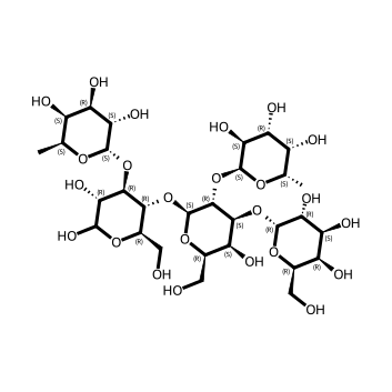 C[C@@H]1O[C@@H](O[C@H]2[C@H](O[C@H]3[C@H](O[C@@H]4O[C@@H](C)[C@@H](O)[C@@H](O)[C@@H]4O)[C@@H](O)C(O)O[C@@H]3CO)O[C@H](CO)[C@H](O)[C@@H]2O[C@H]2O[C@H](CO)[C@H](O)[C@H](O)[C@H]2O)[C@@H](O)[C@H](O)[C@@H]1O